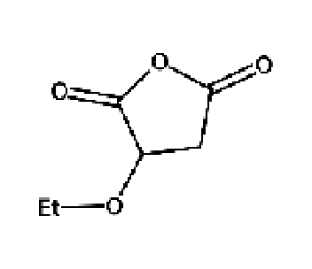 CCOC1CC(=O)OC1=O